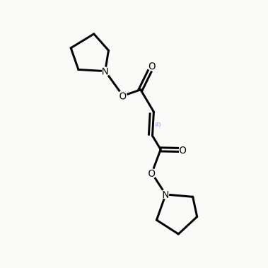 O=C(/C=C/C(=O)ON1CCCC1)ON1CCCC1